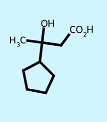 CC(O)(CC(=O)O)C1CCCC1